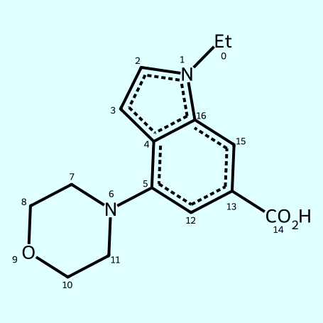 CCn1ccc2c(N3CCOCC3)cc(C(=O)O)cc21